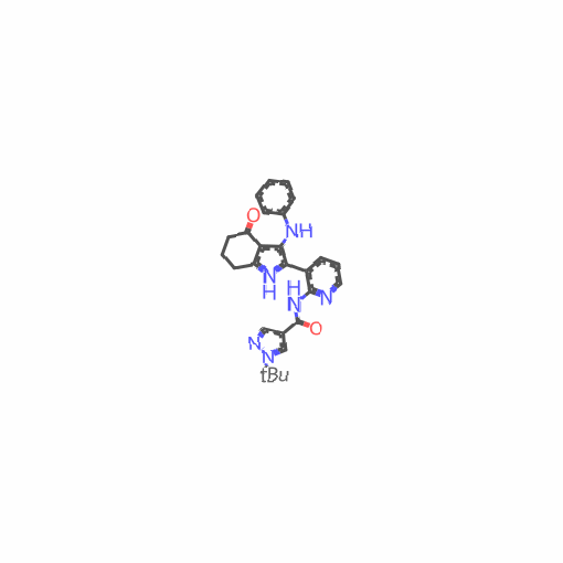 CC(C)(C)n1cc(C(=O)Nc2ncccc2-c2[nH]c3c(c2Nc2ccccc2)C(=O)CCC3)cn1